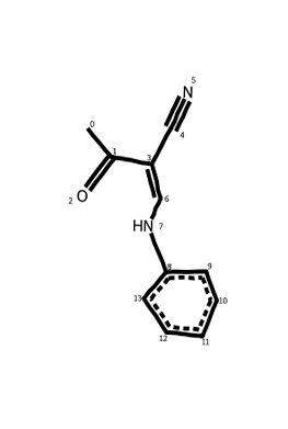 CC(=O)/C(C#N)=C\Nc1ccccc1